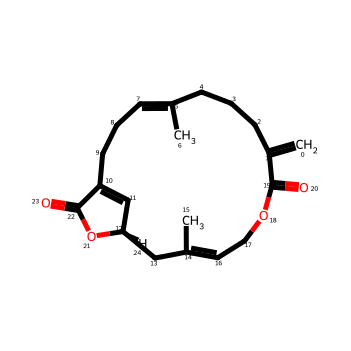 C=C1CCC/C(C)=C/CCC2=C[C@H](C/C(C)=C/COC1=O)OC2=O